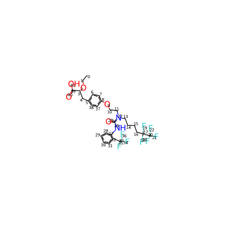 CCOC(Cc1ccc(OCCN(CCCCC(F)(F)C(F)(F)F)C(=O)Nc2ccccc2C(F)(F)F)cc1)C(=O)O